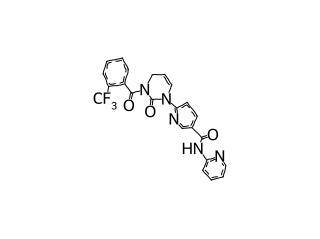 O=C(Nc1ccccn1)c1ccc(N2C=CCN(C(=O)c3ccccc3C(F)(F)F)C2=O)nc1